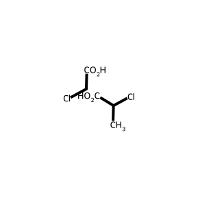 CC(Cl)C(=O)O.O=C(O)CCl